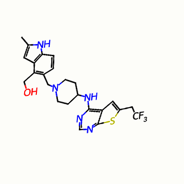 Cc1cc2c(CO)c(CN3CCC(Nc4ncnc5sc(CC(F)(F)F)cc45)CC3)ccc2[nH]1